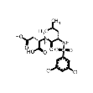 CC(C)C[C@H](NS(=O)(=O)c1cc(Cl)cc(Cl)c1)C(=O)N[C@@H](CC(=O)O)C(=O)O